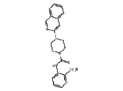 O=C(O)c1ccccc1NC(=O)N1CCN(c2cc3ccccc3cn2)CC1